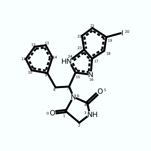 O=C1CNC(=O)N1C(Cc1ccccc1)c1nc2cc(I)ccc2[nH]1